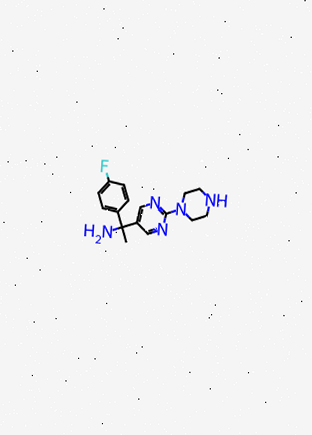 CC(N)(c1ccc(F)cc1)c1cnc(N2CCNCC2)nc1